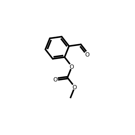 COC(=O)Oc1ccccc1C=O